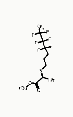 CCCCOC(=O)C(CCC)SCCCC(F)(F)C(F)(F)C(F)(F)C(F)(F)F